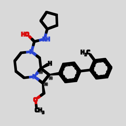 COC[C@@H]1[C@H](c2ccc(-c3ccccc3C)cc2)[C@H]2CN(C(O)NC3CCCC3)CCCCN12